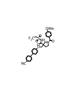 COc1ccc(C(=O)N2CCC(COc3ccc(-c4ccc(C#N)cc4)cc3)(C(=O)NS(=O)(=O)CC(F)(F)F)C2)cc1